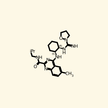 Cc1ccc2nc(C(=O)NCC(C)C)nc(N[C@H]3CCCC[C@H]3NC(=N)N3CCCO3)c2c1